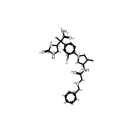 CC1CN(c2ccc(C(C)(C(N)=O)C3CNC(=O)O3)cc2F)CC1NC(=O)COCc1ccccc1